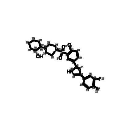 O=S(=O)(c1cc(-c2nc(-c3ccc(Br)c(F)c3)c[nH]2)ccc1Cl)N1CCN([C@@H]2CCCC[C@H]2O)CC1